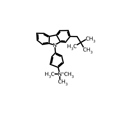 CC(C)(C)Cc1ccc2c3ccccc3n(-c3ccc([N+](C)(C)C)cc3)c2c1